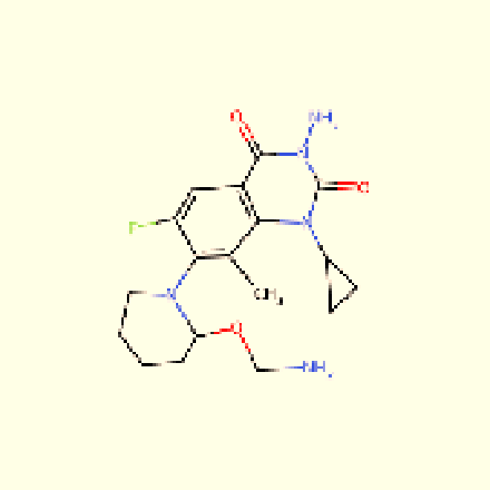 Cc1c(N2CCCCC2OCN)c(F)cc2c(=O)n(N)c(=O)n(C3CC3)c12